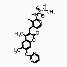 CNS(=O)(=O)Nc1nccc(Cc2c(C)c3cc(C)c(Oc4ncccn4)cc3oc2=O)c1F